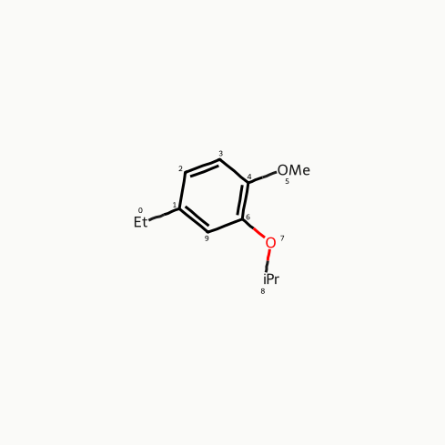 CCc1ccc(OC)c(OC(C)C)c1